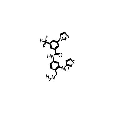 NCc1ccc(NC(=O)c2cc(-n3ccnc3)cc(C(F)(F)F)c2)cc1Nc1ccsc1